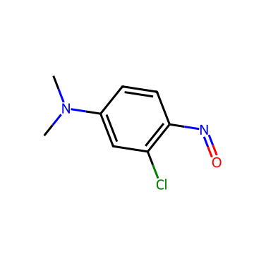 CN(C)c1ccc(N=O)c(Cl)c1